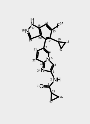 O=C(Nc1cn2cc(-c3c(C4CC4)c(F)cc4[nH]ncc34)ccc2n1)C1CC1